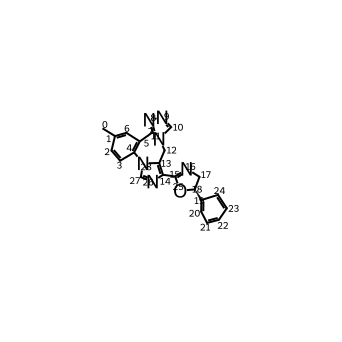 Cc1ccc2c(c1)-c1nncn1Cc1c(C3=NC[C@@H](c4ccccc4)O3)ncn1-2